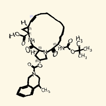 CC1CN(C(=O)O[C@@H]2C[C@H]3C(=O)N[C@]4(C(=O)O)C[C@H]4/C=C\CCCCCCC[C@H](NC(=O)OC(C)(C)C)C(=O)N3C2)Cc2ccccc21